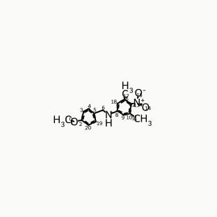 COc1ccc(CNc2cc(C)c([N+](=O)[O-])c(C)c2)cc1